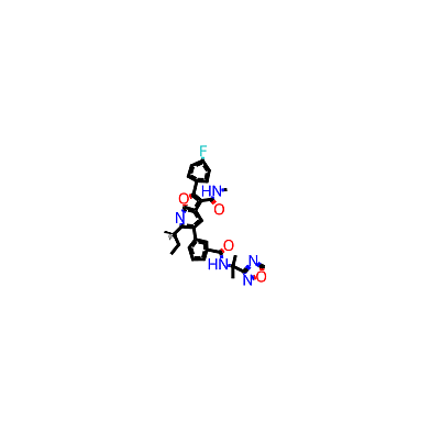 CC[C@@H](C)c1nc2oc(-c3ccc(F)cc3)c(C(=O)NC)c2cc1-c1cccc(C(=O)NC(C)(C)c2ncon2)c1